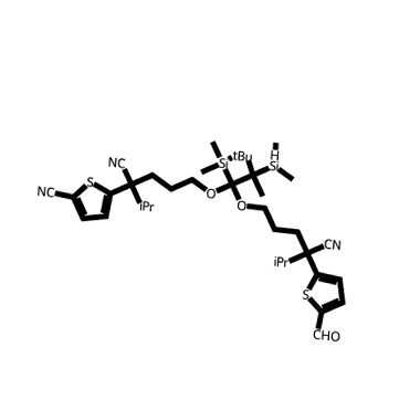 CC(C)C(C#N)(CCCOC(OCCCC(C#N)(c1ccc(C=O)s1)C(C)C)(C(C)(C)[SiH](C)C)[Si](C)(C)C(C)(C)C)c1ccc(C#N)s1